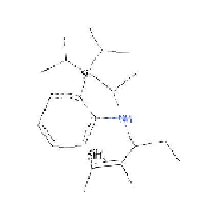 CCC(Nc1ccccc1[Si](C(C)C)(C(C)C)C(C)C)C(C)=C(C)[SiH3]